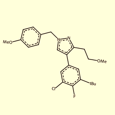 COCCc1nn(Cc2ccc(OC)cc2)cc1-c1cc(Cl)c(F)c(C(C)(C)C)c1